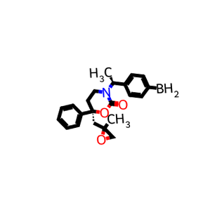 Bc1ccc([C@H](C)N2CC[C@](CC3(C)CO3)(c3ccccc3)OC2=O)cc1